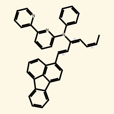 C\C=C/C=C(\C=C\c1ccc2c3c(cccc13)-c1ccccc1-2)N(c1ccccc1)c1cccc(-c2ccccn2)n1